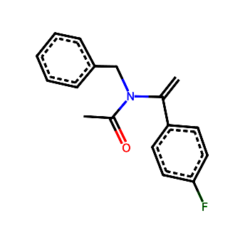 C=C(c1ccc(F)cc1)N(Cc1ccccc1)C(C)=O